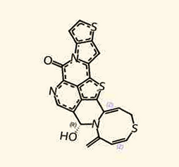 C=C1/C=C\SC/C=C2/c3sc4c5c3c(cnc5c(=O)n3c5ccsc5cc43)[C@@H](O)N12